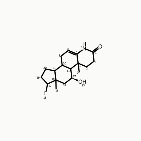 CC12CCC(=O)NC1=CCC1C2[C@@H](O)CC2(C)C(F)CCC12